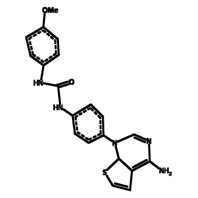 COc1ccc(NC(=O)Nc2ccc(N3C=NC(N)=C4C=CSC43)cc2)cc1